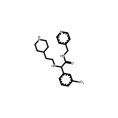 O=C(NCc1ccncc1)C(NCCC1CCNCC1)c1cccc([N+](=O)[O-])c1